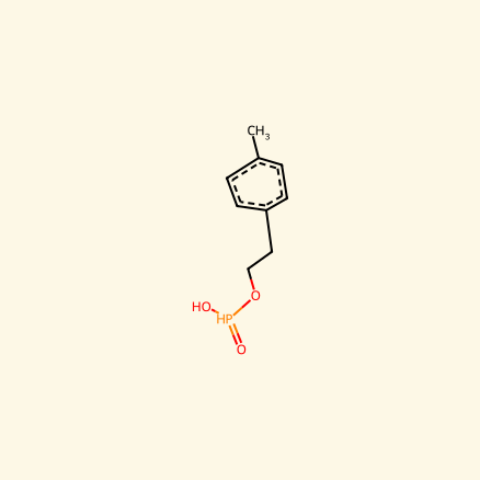 Cc1ccc(CCO[PH](=O)O)cc1